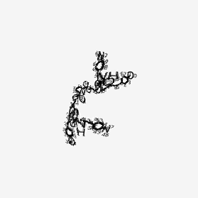 COc1ccc(CC(COCCOC(=O)c2cccc(C(=O)OCCOCC(Cc3ccc(OC)cc3)OC(=O)NCc3ccc(N(C)C)cc3)n2)OC(=O)NCc2ccc(N(C)C)cc2)cc1